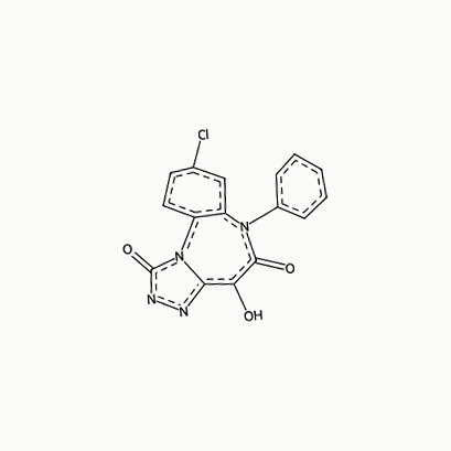 O=c1nnc2c(O)c(=O)n(-c3ccccc3)c3cc(Cl)ccc3n1-2